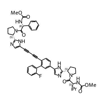 COC(=O)N[C@H](C(=O)N1CCC[C@H]1c1ncc(-c2ccc(C#CC#Cc3cnc([C@@H]4CCCN4C(=O)[C@H](NC(=O)OC)c4ccccc4)[nH]3)c(-c3ccccc3F)c2)[nH]1)C(C)C